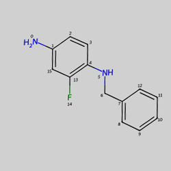 Nc1ccc(NCc2ccccc2)c(F)c1